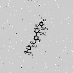 COc1nn(C(F)F)cc1Nc1ncc(-c2ccc(CC(=O)Nc3cc(C4(C(F)(F)F)CC4)on3)c(F)c2)c(C)n1